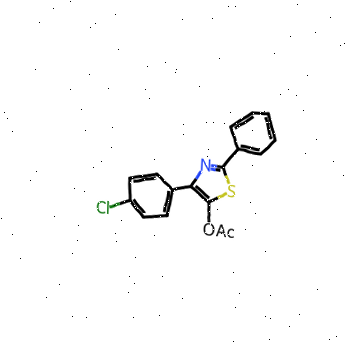 CC(=O)Oc1sc(-c2ccccc2)nc1-c1ccc(Cl)cc1